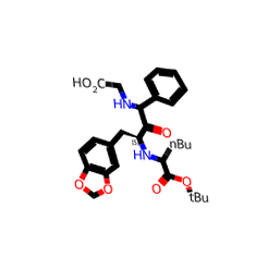 CCCCC(N[C@@H](Cc1ccc2c(c1)OCO2)C(=O)C(NCC(=O)O)c1ccccc1)C(=O)OC(C)(C)C